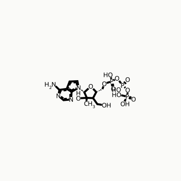 CC1(O)C(CO)[C@@H](COP(=O)(O)OP(=O)(O)OP(=O)(O)O)O[C@H]1n1ccc2c(N)ncnc21